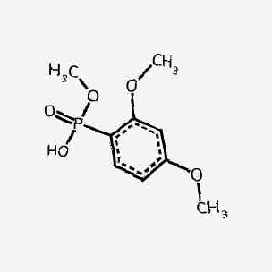 COc1ccc(P(=O)(O)OC)c(OC)c1